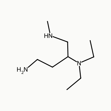 CCN(CC)C(CCN)CNC